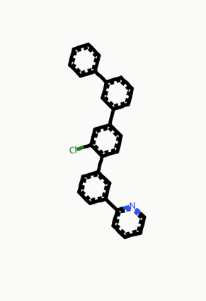 Clc1cc(-c2cccc(-c3ccccc3)c2)ccc1-c1cccc(-c2ccccn2)c1